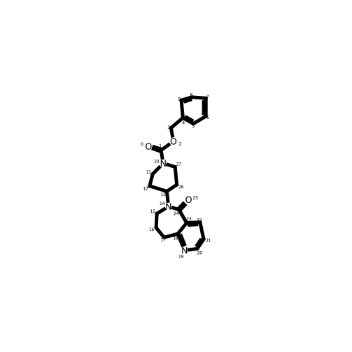 O=C(OCc1ccccc1)N1CCC(N2CCCc3ncccc3C2=O)CC1